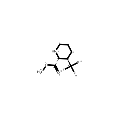 COC(=O)[C@@H]1NCCC[C@H]1C(F)(F)F